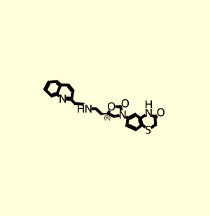 O=C1CSc2ccc(N3C[C@@H](CCNCCc4ccc5ccccc5n4)OC3=O)cc2N1